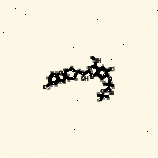 CNC(=O)c1cc(Cl)c(OC(C)(C)C(=O)OC(C)(C)C)cc1OC[C@H](O)CN1CCC2(CC1)Cc1cc(Cl)ccc1O2